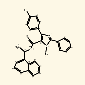 CCc1ccc(-c2nc(-c3ccccc3)n(CC)c2C(=O)NC(C)c2cccc3ccccc23)cc1